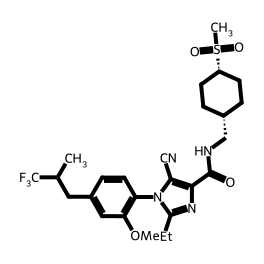 CCc1nc(C(=O)NC[C@H]2CC[C@@H](S(C)(=O)=O)CC2)c(C#N)n1-c1ccc(CC(C)C(F)(F)F)cc1OC